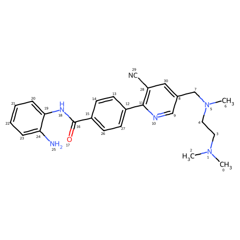 CN(C)CCN(C)Cc1cnc(-c2ccc(C(=O)Nc3ccccc3N)cc2)c(C#N)c1